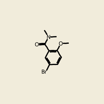 COc1ccc(Br)cc1C(=O)N(C)C